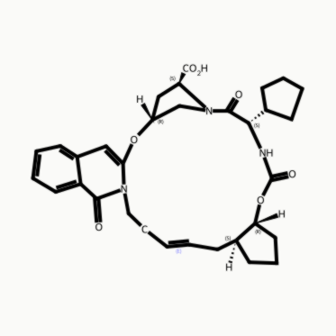 O=C1N[C@@H](C2CCCC2)C(=O)N2C[C@@H](C[C@H]2C(=O)O)Oc2cc3ccccc3c(=O)n2CC/C=C/C[C@@H]2CCC[C@H]2O1